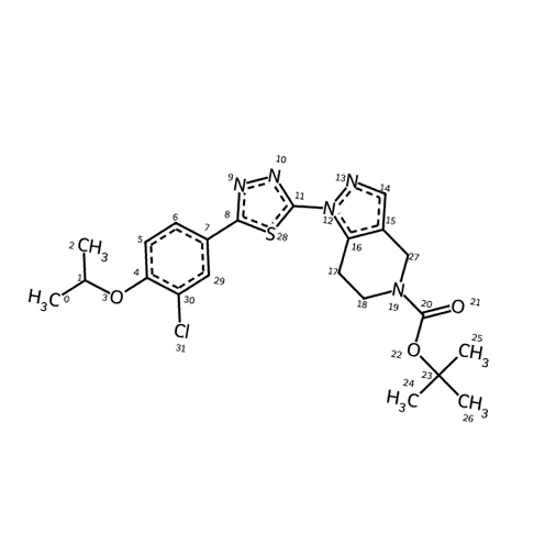 CC(C)Oc1ccc(-c2nnc(-n3ncc4c3CCN(C(=O)OC(C)(C)C)C4)s2)cc1Cl